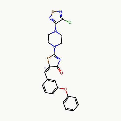 O=C1N=C(N2CCN(c3nsnc3Cl)CC2)S/C1=C/c1cccc(Oc2ccccc2)c1